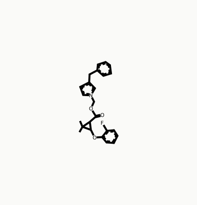 CC1(C)C(Oc2ccccc2F)C1C(=O)OCn1ccc(Cc2ccccc2)c1